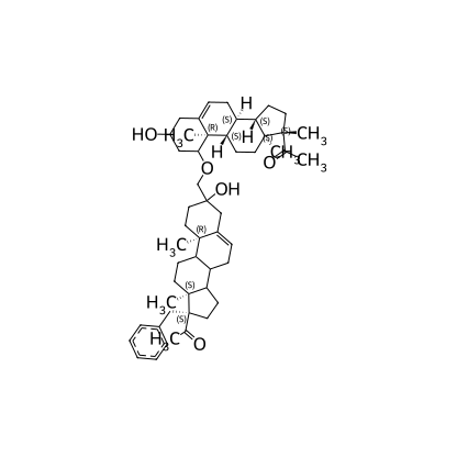 CC(=O)[C@]1(Cc2ccccc2)CCC2C3CC=C4CC(O)(COC5CC(O)CC6=CC[C@H]7[C@@H]8CC[C@](C)(C(C)=O)[C@@]8(C)CC[C@@H]7[C@]65C)CC[C@]4(C)C3CC[C@@]21C